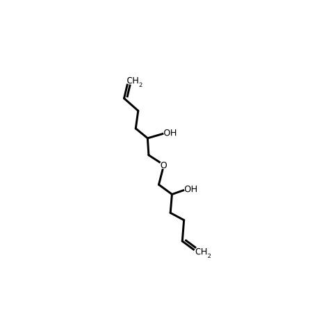 C=CCCC(O)COCC(O)CCC=C